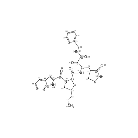 C=CCC1CC(C(=O)NC(CC2CCNC2=O)C(=O)C(=O)NCc2ccccc2)N(C(=O)c2cc3ccccc3[nH]2)C1